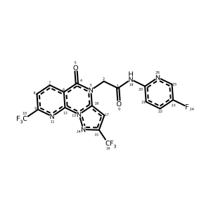 O=C(Cn1c(=O)c2ccc(C(F)(F)F)nc2n2nc(C(F)(F)F)cc12)Nc1ccc(F)cn1